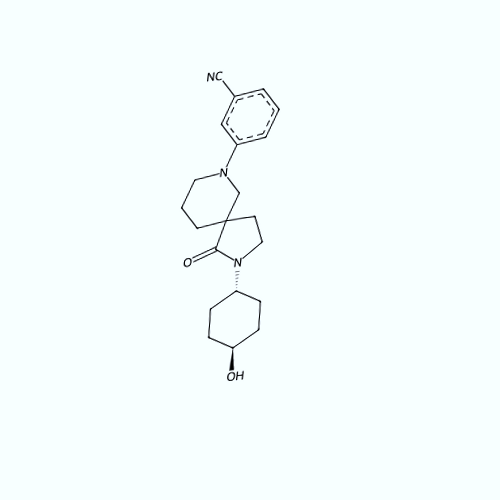 N#Cc1cccc(N2CCCC3(CCN([C@H]4CC[C@H](O)CC4)C3=O)C2)c1